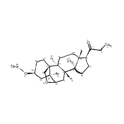 CC(=O)OCC(=O)[C@H]1CC[C@H]2[C@@H]3CC4OC[C@@]5(CC[C@H](OC=O)C[C@]45Br)[C@H]3CC[C@]12C